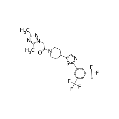 Cc1nc(C)n(CC(=O)N2CCC(c3cnc(-c4cc(C(F)(F)F)cc(C(F)(F)F)c4)s3)CC2)n1